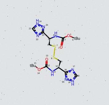 CC(C)(C)OC(=O)N[C@@H](CSSC[C@H](NC(=O)OC(C)(C)C)c1nc[nH]n1)c1nc[nH]n1